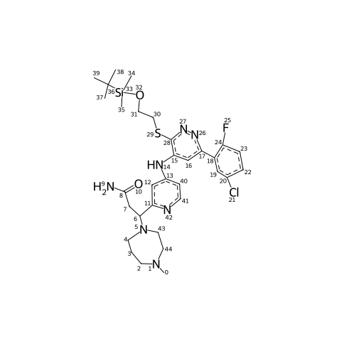 CN1CCCN(C(CC(N)=O)c2cc(Nc3cc(-c4cc(Cl)ccc4F)nnc3SCCO[Si](C)(C)C(C)(C)C)ccn2)CC1